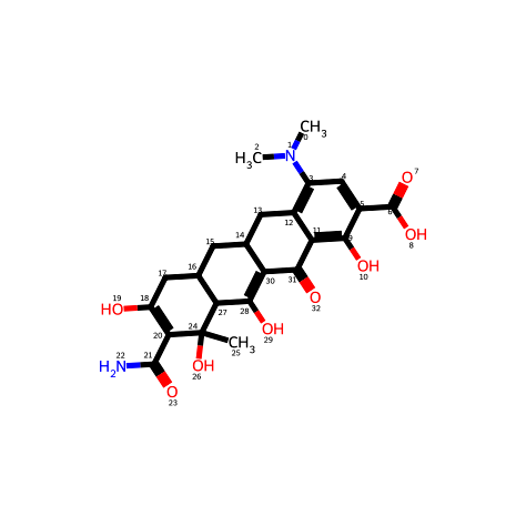 CN(C)c1cc(C(=O)O)c(O)c2c1CC1CC3CC(O)=C(C(N)=O)C(C)(O)C3C(O)=C1C2=O